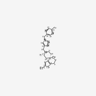 CCc1cc2c(s1)CCO[C@@]21CCN(Cc2cn(Cc3cnc(C)cn3)nn2)[C@@H](C)C1